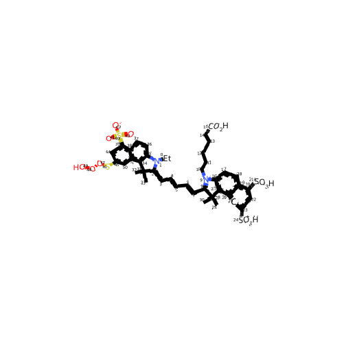 CCN1\C(=C/C=C/C=C/C2=[N+](CCCCCC(=O)O)c3ccc4c(S(=O)(=O)O)cc(S(=O)(=O)O)cc4c3C2(C)C)C(C)(C)c2c1ccc1c(S(=O)(=O)[O-])cc(SOOO)cc21